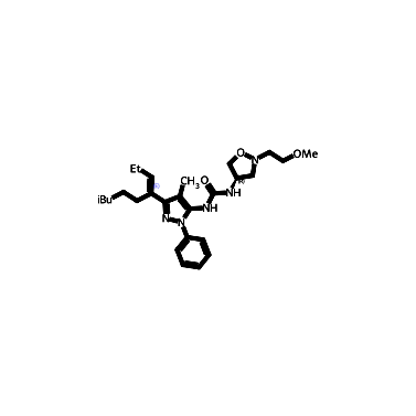 CC/C=C(\CCC(C)CC)c1nn(-c2ccccc2)c(NC(=O)N[C@H]2CON(CCOC)C2)c1C